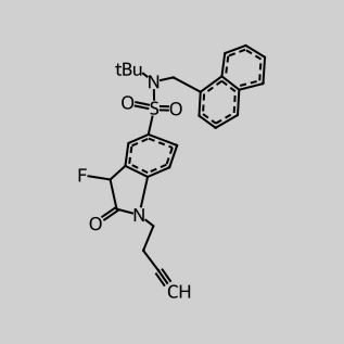 C#CCCN1C(=O)C(F)c2cc(S(=O)(=O)N(Cc3cccc4ccccc34)C(C)(C)C)ccc21